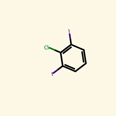 Clc1c(I)cccc1I